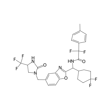 Cc1ccc(C(F)(F)C(=O)NC(c2nc3cc(CN4CC(C(F)(F)F)NC4=O)ccc3o2)C2CCC(F)(F)CC2)cc1